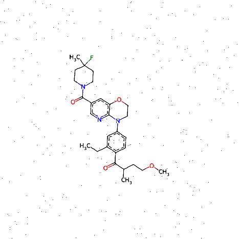 CCc1cc(N2CCOc3cc(C(=O)N4CCC(C)(F)CC4)cnc32)ccc1C(=O)C(C)CCOC